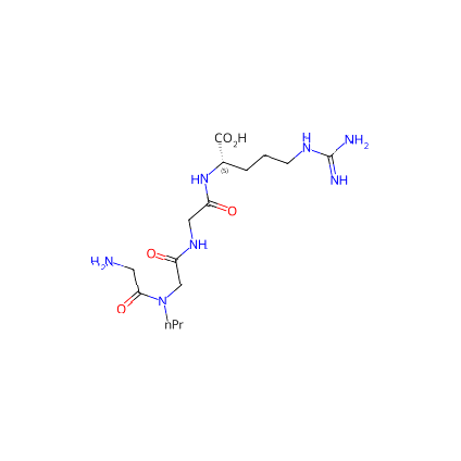 CCCN(CC(=O)NCC(=O)N[C@@H](CCCNC(=N)N)C(=O)O)C(=O)CN